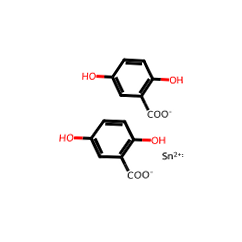 O=C([O-])c1cc(O)ccc1O.O=C([O-])c1cc(O)ccc1O.[Sn+2]